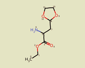 CCOC(=O)C(N)CC1OCCO1